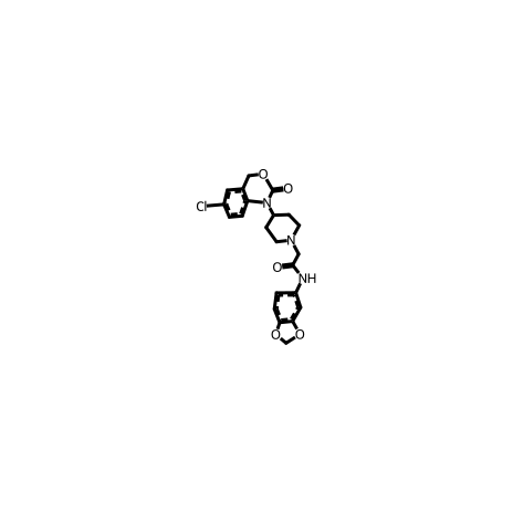 O=C(CN1CCC(N2C(=O)OCc3cc(Cl)ccc32)CC1)Nc1ccc2c(c1)OCO2